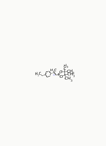 CCc1ccc(/C(C)=C/B2OC(C)(C)C(C)(C)O2)cc1